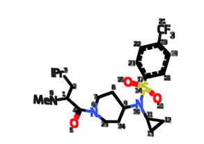 CNC(CC(C)C)C(=O)N1CCC(N(C2CC2)S(=O)(=O)c2ccc(C(F)(F)F)cc2)CC1